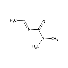 C/C=N/C(=O)N(C)C